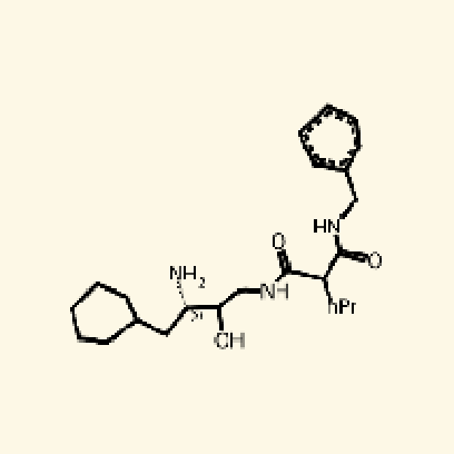 CCCC(C(=O)NCc1ccccc1)C(=O)NCC(O)[C@@H](N)CC1CCCCC1